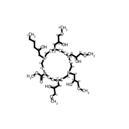 CCCCC(O)CN1CCN(CC(O)COC)CCN(CC(O)COC)CCN(CC(O)COC)CCN(CC(O)COC)CCN(C(=O)OC)CC1